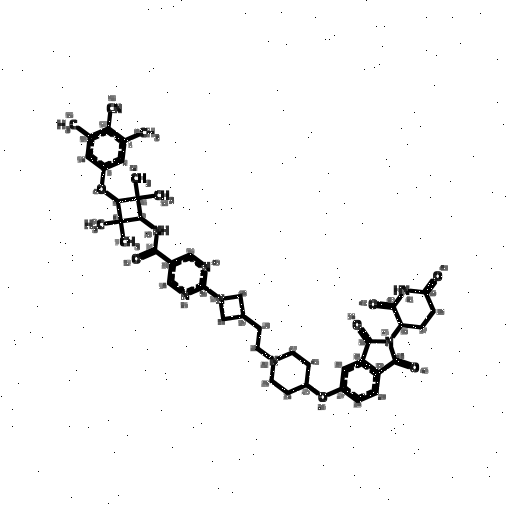 Cc1cc(OC2C(C)(C)C(NC(=O)c3cnc(N4CC(CCN5CCC(Oc6ccc7c(c6)C(=O)N(C6CCC(=O)NC6=O)C7=O)CC5)C4)nc3)C2(C)C)cc(C)c1C#N